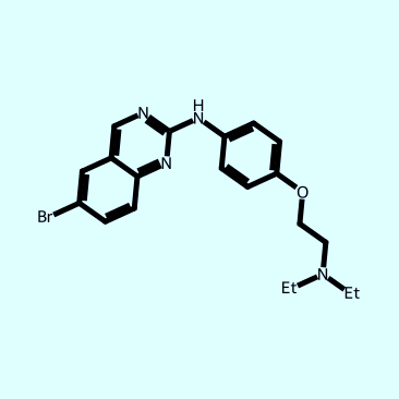 CCN(CC)CCOc1ccc(Nc2ncc3cc(Br)ccc3n2)cc1